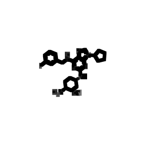 Cl.N[C@H]1CC[C@H](Nc2nc(NCc3cccc(I)c3)c3ncn(C4CCCC4)c3n2)CC1